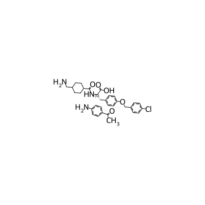 CC(=O)c1ccc(N)cc1.NCC1CCC(C(=O)N[C@@H](Cc2ccc(OCc3ccc(Cl)cc3)cc2)C(=O)O)CC1